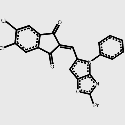 CC(C)c1nc2c(cc(C=C3C(=O)c4cc(Cl)c(Cl)cc4C3=O)n2-c2ccccc2)o1